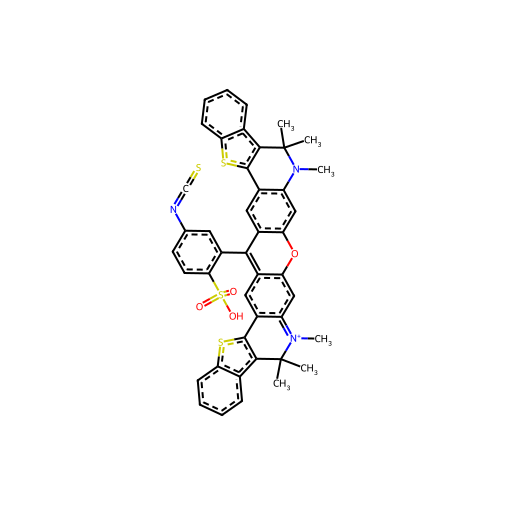 CN1c2cc3c(cc2-c2sc4ccccc4c2C1(C)C)C(c1cc(N=C=S)ccc1S(=O)(=O)O)=c1cc2c(cc1O3)=[N+](C)C(C)(C)c1c-2sc2ccccc12